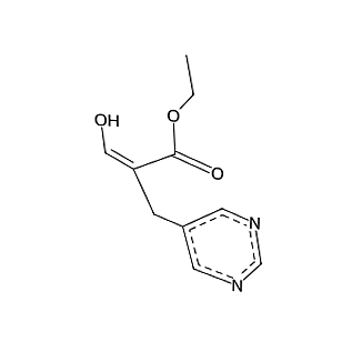 CCOC(=O)C(=CO)Cc1cncnc1